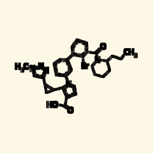 CCCC1CCCCN1C(=O)c1cccc(-c2cccc(-n3ccc(C(=O)O)c3C3CC3c3cn(C)nn3)c2)c1Br